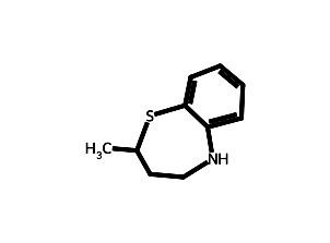 CC1CCNc2ccccc2S1